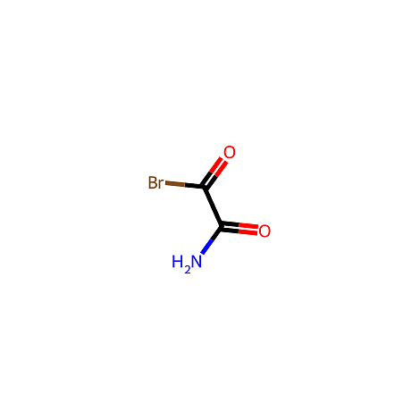 NC(=O)C(=O)Br